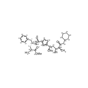 COC(=O)[C@@H](C)C[C@H](Cc1ccccc1)NC(=O)c1csc([C@@H](CC(C(C)C)N(C)C(=O)CC2CCCCC2)OC(C)=O)n1